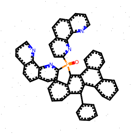 O=P(c1ccc2ccc3cccnc3c2n1)(c1ccc2ccc3cccnc3c2n1)c1c2ccccc2c(-c2ccccc2)c2c3ccccc3c3ccccc3c12